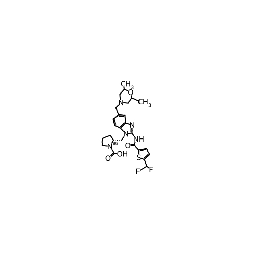 CC1CN(Cc2ccc3c(c2)nc(NC(=O)c2ccc(C(F)F)s2)n3C[C@H]2CCCN2C(=O)O)CC(C)O1